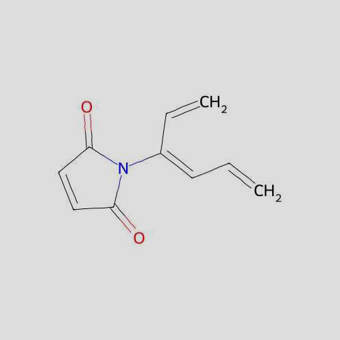 C=C/C=C(\C=C)N1C(=O)C=CC1=O